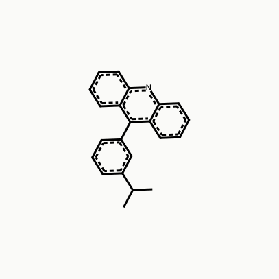 CC(C)c1cccc(-c2c3ccccc3nc3ccccc23)c1